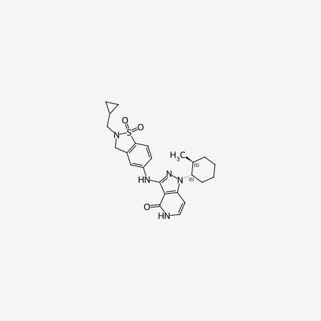 C[C@H]1CCCC[C@@H]1n1nc(Nc2ccc3c(c2)CN(CC2CC2)S3(=O)=O)c2c(=O)[nH]ccc21